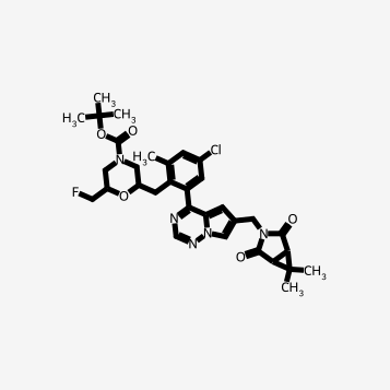 Cc1cc(Cl)cc(-c2ncnn3cc(CN4C(=O)C5C(C4=O)C5(C)C)cc23)c1CC1CN(C(=O)OC(C)(C)C)CC(CF)O1